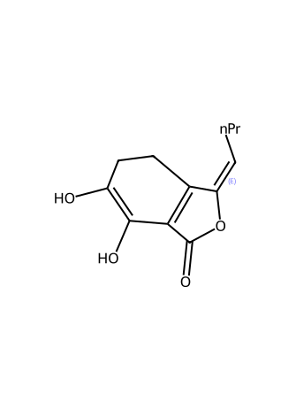 CCC/C=C1/OC(=O)C2=C1CCC(O)=C2O